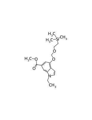 CCn1ccc2c(OCOCC[Si](C)(C)C)cc(C(=O)OC)cc21